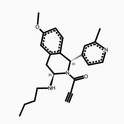 C#CC(=O)N1[C@@H](c2ccnc(C)c2)c2ccc(OC)cc2C[C@@H]1NCCCC